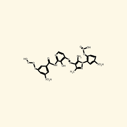 Cc1nn(-c2cc(S(=O)(=O)O)ccc2OS(=O)O)c(N)c1N=Nc1ccnc(NC(=O)c2cc(SOOO)cc(S(=O)(=O)O)c2)c1O